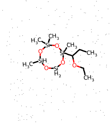 CCOC(CC)[Si]1(C)O[SiH2]O[SiH](C)O[Si](C)(C)O1